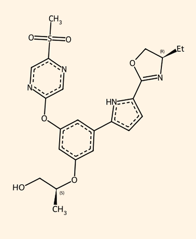 CC[C@@H]1COC(c2ccc(-c3cc(Oc4cnc(S(C)(=O)=O)cn4)cc(O[C@@H](C)CO)c3)[nH]2)=N1